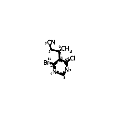 C[C@H](CC#N)c1c(Cl)ncnc1Br